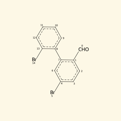 O=Cc1ccc(Br)cc1-c1ccccc1Br